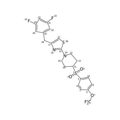 O=S(=O)(c1ccc(OC(F)(F)F)cc1)C1CCN(c2nc(Cc3cc(F)cc(F)c3)cs2)CC1